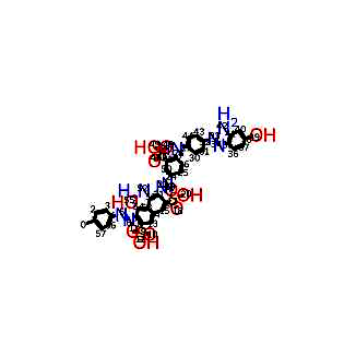 Cc1ccc(N=Nc2c(S(=O)(=O)O)cc3cc(S(=O)(=O)O)c(N=Nc4ccc(Nc5ccc(N=Nc6ccc(O)cc6N)cc5)c(S(=O)(=O)O)c4)c(N)c3c2O)cc1